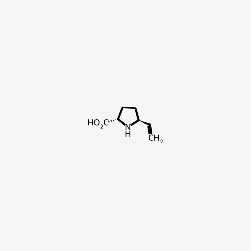 C=C[C@@H]1CC[C@@H](C(=O)O)N1